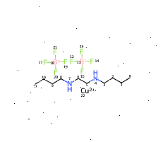 CCCCNCCNCCCC.F[B-](F)(F)F.F[B-](F)(F)F.[Cu+2]